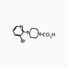 O=C(O)N1CCN(c2ncccc2Br)CC1